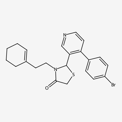 O=C1CSC(c2cnccc2-c2ccc(Br)cc2)N1CCC1=CCCCC1